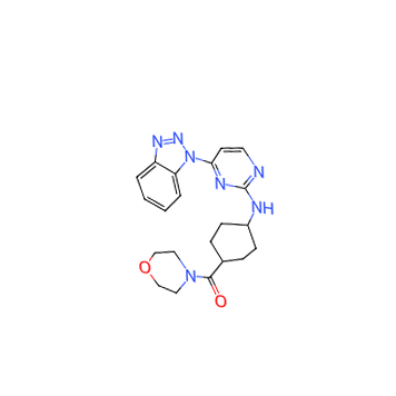 O=C(C1CCC(Nc2nccc(-n3nnc4ccccc43)n2)CC1)N1CCOCC1